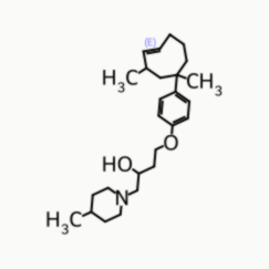 CC1/C=C/CCCC(C)(c2ccc(OCCC(O)CN3CCC(C)CC3)cc2)C1